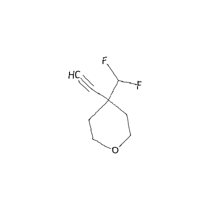 C#CC1(C(F)F)CCOCC1